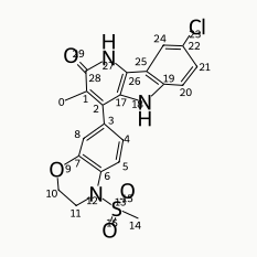 Cc1c(-c2ccc3c(c2)OCCN3S(C)(=O)=O)c2[nH]c3ccc(Cl)cc3c2[nH]c1=O